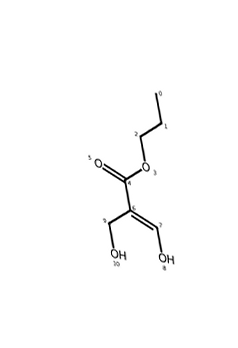 CCCOC(=O)C(=CO)CO